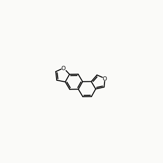 c1cc2cc3ccc4cocc4c3cc2o1